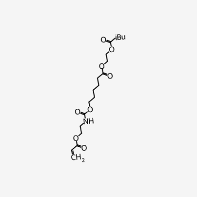 C=CC(=O)OCCNC(=O)OCCCCCC(=O)OCCOC(=O)C(C)CC